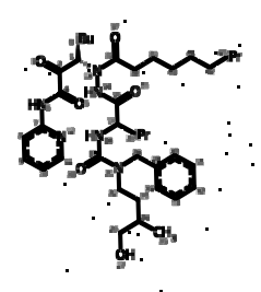 CC[C@H](C)[C@@H](C(=O)C(=O)Nc1ccccn1)N(NC(=O)C(NC(=O)N(CCC(C)CO)Cc1ccccc1)C(C)C)C(=O)CCCCCC(C)C